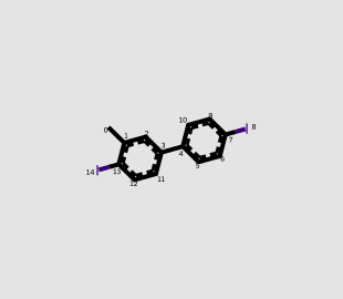 Cc1cc(-c2ccc(I)cc2)ccc1I